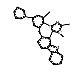 Cc1cc(-c2ccccc2)cc(C)c1-n1nc(I)[n+](C)c1-c1c(C)ccc2c1oc1ccccc12